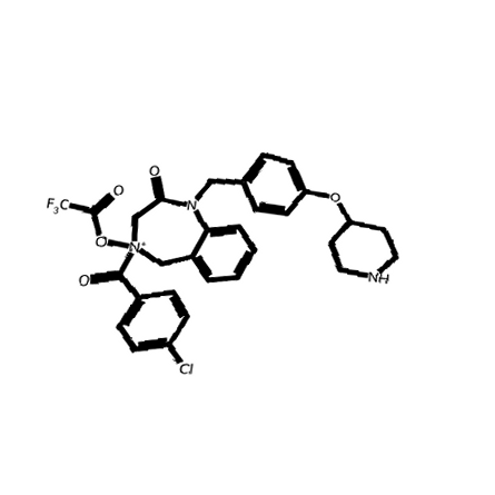 O=C1C[N+](OC(=O)C(F)(F)F)(C(=O)c2ccc(Cl)cc2)Cc2ccccc2N1Cc1ccc(OC2CCNCC2)cc1